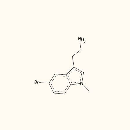 Cn1cc(CCN)c2cc(Br)ccc21